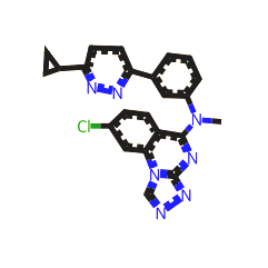 CN(c1cccc(-c2ccc(C3CC3)nn2)c1)c1nc2nncn2c2cc(Cl)ccc12